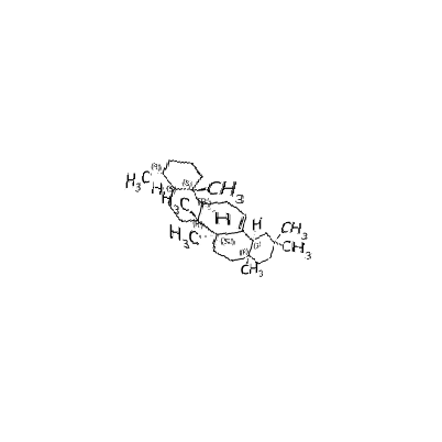 C[C@@H]1CCC[C@]2(C)[C@H]3CC=C4[C@H]5CC(C)(C)CC[C@]5(C)CC[C@@]4(C)[C@]3(C)CC[C@@H]12